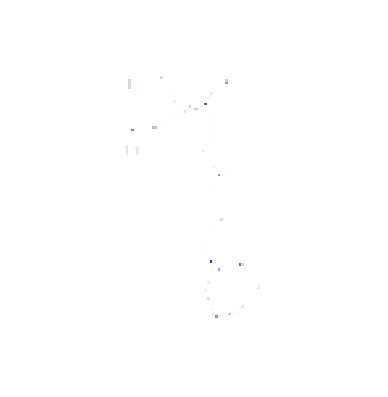 CC(C)CCC(C(=O)O)=C(CCCCCCN1CCOCC1)C(=O)O